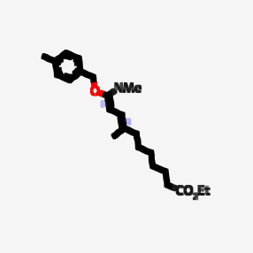 CCOC(=O)CCCCCC/C(C)=C/C=C(\NC)OCc1ccc(C)cc1